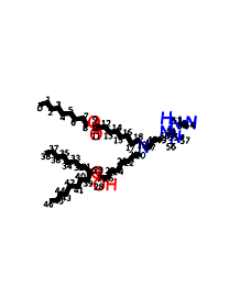 CCCCCCCCCOC(=O)CCCCCCCN(CCCCCCCC(O)OC(CCCCCCCC)CCCCCCCC)CCCN/C(=N/C#N)N(C)C